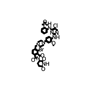 COc1cc(N2CCN(Cc3ccc4c(c3Br)C(=O)N(C3CCC(=O)NC3=O)C4=O)CC2)ccc1Nc1ncc(Cl)c(Nc2ccccc2P(C)(C)=O)n1